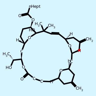 C=C1C[C@H]2CCCC(=O)O[C@@H]([C@@H](C)O)C[C@@H]3CC[C@@H](OC(=O)CCCCCCC)[C@@](O)(O3)C(C)(C)/C=C/[C@H]3CC(=C)C[C@@H](C[C@@H](C1)O2)O3